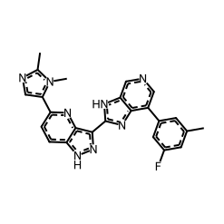 Cc1cc(F)cc(-c2cncc3[nH]c(-c4n[nH]c5ccc(-c6cnc(C)n6C)nc45)nc23)c1